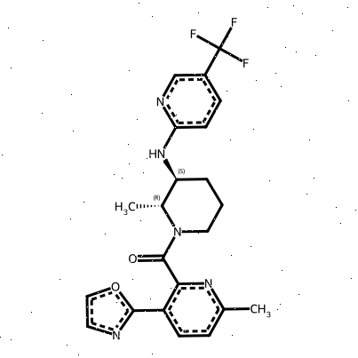 Cc1ccc(-c2ncco2)c(C(=O)N2CCC[C@H](Nc3ccc(C(F)(F)F)cn3)[C@H]2C)n1